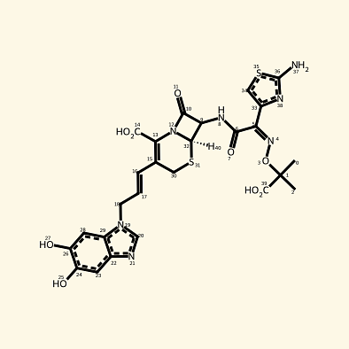 CC(C)(O/N=C(\C(=O)NC1C(=O)N2C(C(=O)O)=C(/C=C/Cn3cnc4cc(O)c(O)cc43)CS[C@H]12)c1csc(N)n1)C(=O)O